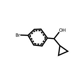 OC(c1ccc(Br)cc1)C1CC1